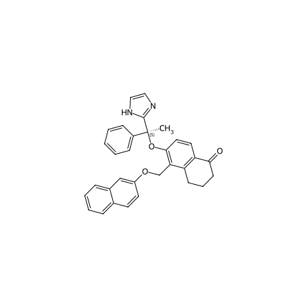 C[C@](Oc1ccc2c(c1COc1ccc3ccccc3c1)CCCC2=O)(c1ccccc1)c1ncc[nH]1